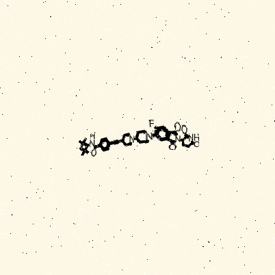 CC1(C)CC(C)(C)C1NC(=O)c1ccc(C#CC2CCN(C3CCN(c4cc5c(cc4F)C(=O)N(C4CCC(=O)NC4=O)C5=O)CC3)CC2)cc1